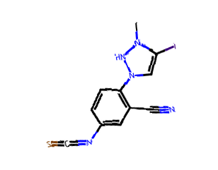 CN1NN(c2ccc(N=C=S)cc2C#N)C=C1I